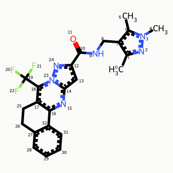 Cc1nn(C)c(C)c1CNC(=O)c1cc2nc3c(c(C(F)(F)F)n2n1)CCc1ccccc1-3